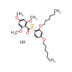 CCCCCCOc1ccc(PC(=O)c2c(OC)cc(OC)cc2OC)c(OCCCCCC)c1.[LiH]